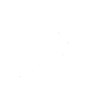 COc1ncc(Cl)cc1CN1CCC(C=Cc2ccccc2F)CC1